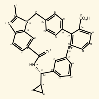 Cc1nc2ccc(C(=O)N[C@H](c3cccc(C(C)C)c3)C3CC3)cc2n1Cc1ccc(-c2ccccc2C(=O)O)cc1